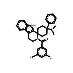 CN(C)C1(c2ccccc2)CCC2(CC1)c1[nH]c3ccccc3c1CCN2C(=O)c1cc(Cl)cc(Cl)c1